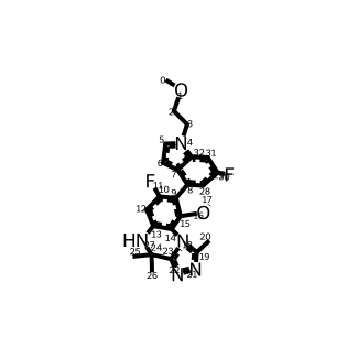 COCCn1ccc2c(-c3c(F)cc4c(c3OC)-n3c(C)nnc3C(C)(C)N4)cc(F)cc21